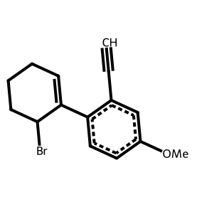 C#Cc1cc(OC)ccc1C1=CCCCC1Br